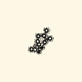 C1=CC2C(Oc3c(ccc4ccccc34)C23c2ccccc2-c2ccc(-c4ccc(N(c5ccccc5)c5cc(-c6ccccc6)cc(-c6ccccc6)c5)cc4)cc23)c2ccccc21